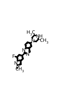 C[C@@H]1CN(c2ccc3nc(-c4cc(F)c5nn(C)cc5c4)ncc3c2)C[C@@H](C)N1